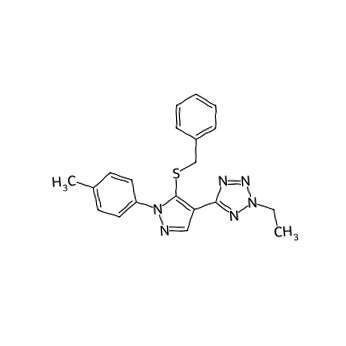 CCn1nnc(-c2cnn(-c3ccc(C)cc3)c2SCc2ccccc2)n1